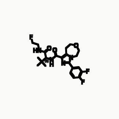 CC(C)(C)[C@H](NC(=O)c1nc(-c2ccc(F)c(F)c2)n2c1CCOCC2)C(=O)NCCF